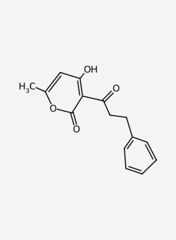 Cc1cc(O)c(C(=O)CCc2ccccc2)c(=O)o1